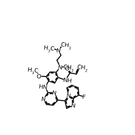 C=CC(=O)Nc1cc(Nc2nccc(-c3cnc4c(F)cccn34)n2)c(OC)cc1N(C)CCN(C)C